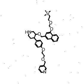 C[Si](C)(C)CCOCOc1cc(COC2CNCCC2c2ccc(OCCOCc3cccnc3)cc2)cc2ccccc12